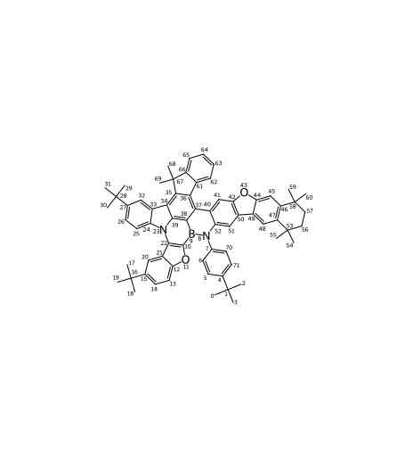 CC(C)(C)c1ccc(N2B3c4oc5ccc(C(C)(C)C)cc5c4-n4c5ccc(C(C)(C)C)cc5c5c6c(c(c3c54)-c3cc4oc5cc7c(cc5c4cc32)C(C)(C)CCC7(C)C)-c2ccccc2C6(C)C)cc1